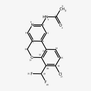 CC(=O)Nc1cc2c(cn1)COc1c-2ccc(Cl)c1C(F)F